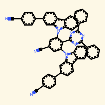 N#Cc1ccc(-c2ccc3c4ccccc4n(-c4cc(C#N)cc(-n5c6ccccc6c6ccc(-c7ccc(C#N)cc7)cc65)c4-c4nc(-c5ccccc5)nc(-c5ccccc5)n4)c3c2)cc1